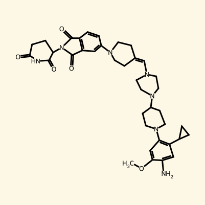 COc1cc(N2CCC(N3CCN(C=C4CCN(c5ccc6c(c5)C(=O)N(C5CCC(=O)NC5=O)C6=O)CC4)CC3)CC2)c(C2CC2)cc1N